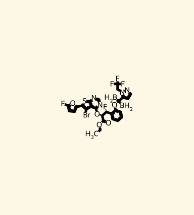 BC(B)(Oc1ccccc1[C@@H](F)[C@H](Oc1ncnc2sc(-c3ccc(F)o3)c(Br)c12)C(=O)OCC)c1ccnn1CC(F)(F)F